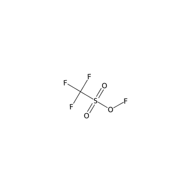 O=S(=O)(OF)C(F)(F)F